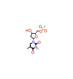 Cc1cn([C@H]2CC(O)[C@@H](COS(C)(=O)=O)O2)c(=O)n(F)c1=O